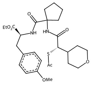 CCOC(=O)[C@H](Cc1ccc(OC)cc1)NC(=O)C1(NC(=O)[C@@H](SC(C)=O)C2CCOCC2)CCCC1